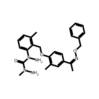 CC(=NOCc1ccccc1)c1ccc(OCc2c(C)cccc2N(N)C(=O)N(C)N)c(C)c1